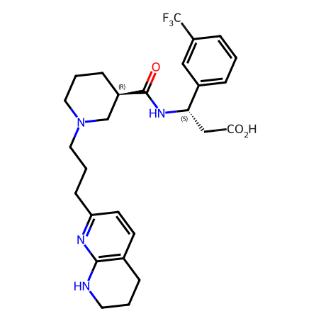 O=C(O)C[C@H](NC(=O)[C@@H]1CCCN(CCCc2ccc3c(n2)NCCC3)C1)c1cccc(C(F)(F)F)c1